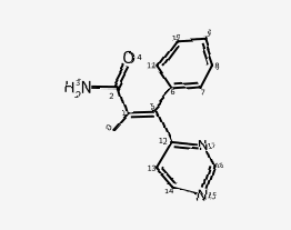 CC(C(N)=O)=C(c1ccccc1)c1ccncn1